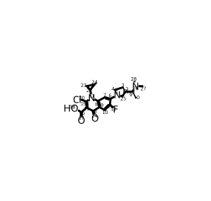 C[C@@H]([C@@H]1CCN(c2cc3c(cc2F)c(=O)c(C(=O)O)c(Cl)n3C2CC2)C1)N(C)C